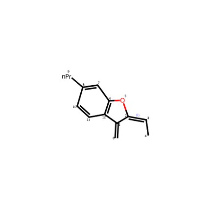 C=c1/c(=C\C)oc2cc(CCC)ccc12